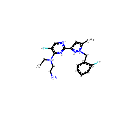 COc1cc(-c2ncc(F)c(N(CCN)CC(C)=O)n2)nn1Cc1ccccc1F